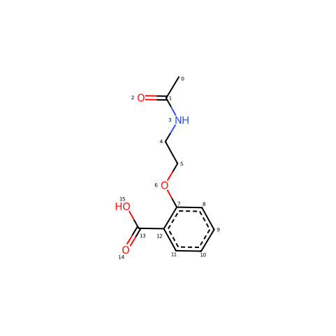 CC(=O)NCCOc1ccccc1C(=O)O